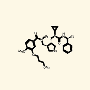 CC[C@H](NC(=O)N(C[C@@H]1CNC[C@H]1CN(C(=O)c1ccc(OC)c(OCCCOC)c1)C(C)C)C1CC1)c1ccccc1